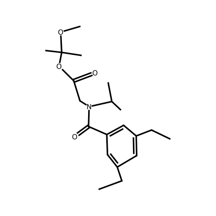 CCc1cc(CC)cc(C(=O)N(CC(=O)OC(C)(C)OC)C(C)C)c1